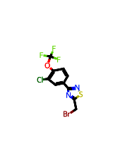 FC(F)(F)Oc1ccc(-c2nsc(CBr)n2)cc1Cl